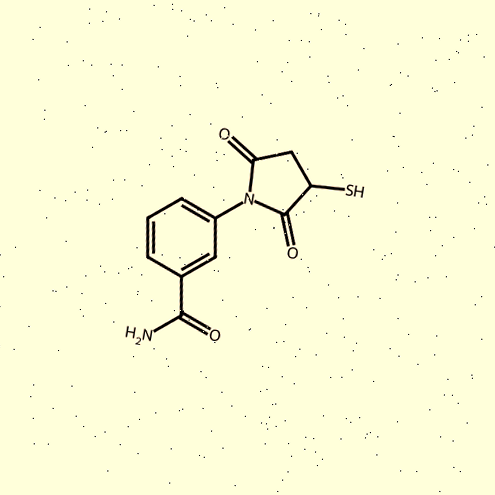 NC(=O)c1cccc(N2C(=O)CC(S)C2=O)c1